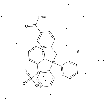 COC(=O)c1ccc(C[P+](c2ccccc2)(c2ccccc2)c2ccccc2OS(=O)(=O)C(F)(F)F)cc1.[Br-]